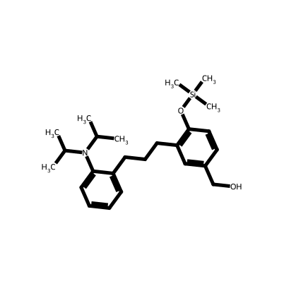 CC(C)N(c1ccccc1CCCc1cc(CO)ccc1O[Si](C)(C)C)C(C)C